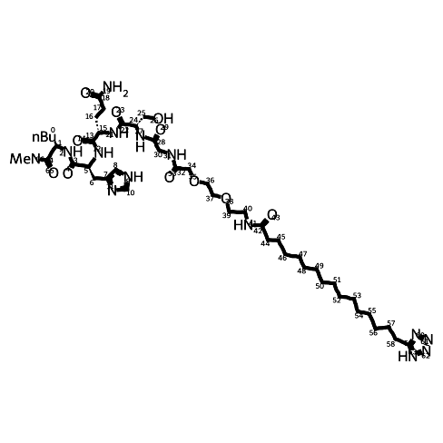 CCCC[C@H](NC(=O)[C@H](Cc1c[nH]cn1)NC(=O)[C@H](CCC(N)=O)NC(=O)[C@H](CO)NC(=O)CNC(=O)COCCOCCNC(=O)CCCCCCCCCCCCCCCc1nnn[nH]1)C(=O)NC